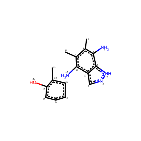 Cc1c(C)c(N)c2[nH]ncc2c1N.Cc1ccccc1O